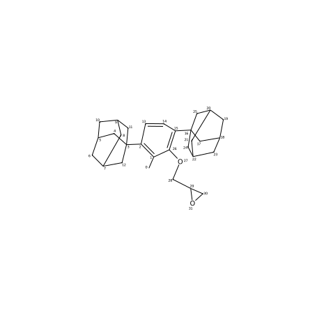 Cc1c(C23CC4CC(CC(C4)C2)C3)ccc(C23CC4CC(CC(C4)C2)C3)c1OCC1CO1